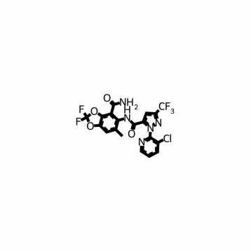 Cc1cc2c(c(C(N)=O)c1NC(=O)c1cc(C(F)(F)F)nn1-c1ncccc1Cl)OC(F)(F)O2